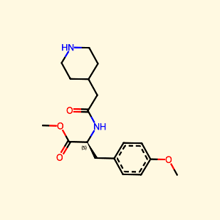 COC(=O)[C@H](Cc1ccc(OC)cc1)NC(=O)CC1CCNCC1